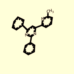 Cc1cccc(-c2cc(-c3ccccc3)nc(-c3ccccc3)n2)n1